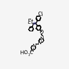 CC/C(=C(\c1ccc(Cl)cc1)c1ccc(OCCN2CCN(CCN3CCN(C(=O)O)CC3)CC2)cc1)c1ccccc1